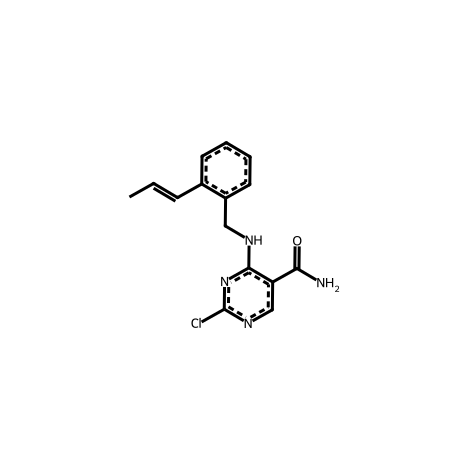 CC=Cc1ccccc1CNc1nc(Cl)ncc1C(N)=O